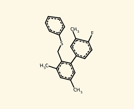 Cc1cc(C)c(CSc2ccccc2)c(-c2ccc(F)c(C)c2)c1